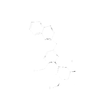 OCc1ccc(Cc2ccc3ccccc3c2)cc1[C@@H]1O[C@H](CO)[C@@H](O)[C@H](O)[C@H]1O